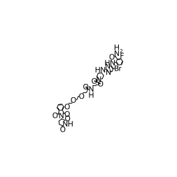 NC(=O)c1c(F)cccc1Nc1nc(NC2CCN(S(=O)(=O)CCNC(=O)CCOCCOCCOc3cccc4c3C(=O)N(C3CCC(=O)NC3=O)C4=O)CC2)ncc1Br